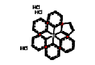 C1=CC[C]([Ti]([c]2ccccc2)([c]2ccccc2)([c]2ccccc2)([c]2ccccc2)[c]2ccccc2)=C1.Cl.Cl.Cl